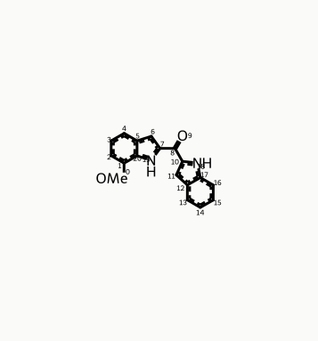 COc1cccc2cc(C(=O)c3cc4ccccc4[nH]3)[nH]c12